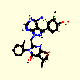 Cc1ccccc1-n1c(Cn2nc(-c3ccc(O)c(Cl)c3)c3c(N)ncnc32)nc2scc(C)c2c1=O